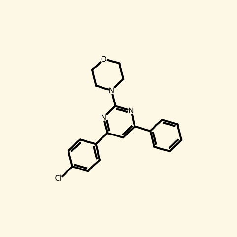 Clc1ccc(-c2cc(-c3ccccc3)nc(N3CCOCC3)n2)cc1